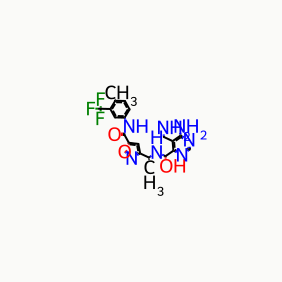 Cc1ccc(NC(=O)c2cc([C@@H](C)NC(O)c3ncnc(N)c3CN)no2)cc1C(F)(F)F